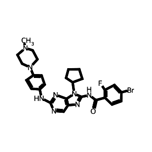 CN1CCN(c2ccc(Nc3ncc4nc(NC(=O)c5ccc(Br)cc5F)n(C5CCCC5)c4n3)cc2)CC1